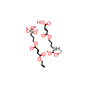 C=CCOC(=O)C=CC(=O)OCCC[Si](OC)(OC)OC.COC(OC)[SiH2]CCCOC(=O)C=CC(=O)O